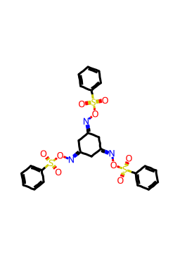 O=S(=O)(ON=C1CC(=NOS(=O)(=O)c2ccccc2)CC(=NOS(=O)(=O)c2ccccc2)C1)c1ccccc1